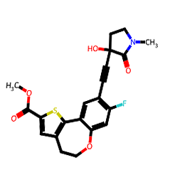 COC(=O)c1cc2c(s1)-c1cc(C#CC3(O)CCN(C)C3=O)c(F)cc1OCC2